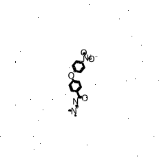 CN(C)/C=N/C(=O)c1ccc(Oc2ccc([N+](=O)[O-])cc2)cc1